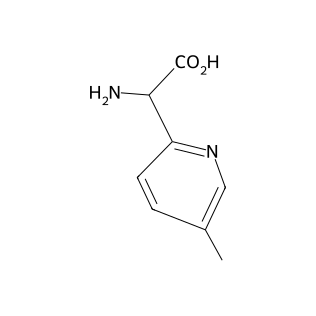 Cc1ccc(C(N)C(=O)O)nc1